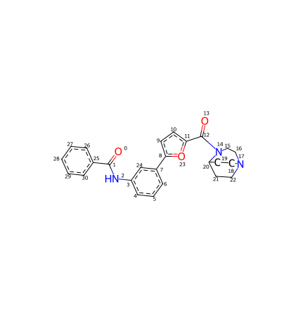 O=C(Nc1cccc(-c2ccc(C(=O)N3CCN4CCC3CC4)o2)c1)c1ccccc1